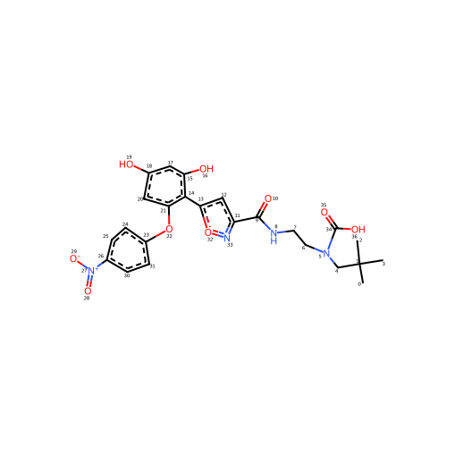 CC(C)(C)CN(CCNC(=O)c1cc(-c2c(O)cc(O)cc2Oc2ccc([N+](=O)[O-])cc2)on1)C(=O)O